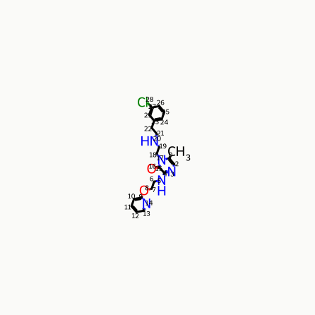 Cc1cnc(NCCOc2ccccn2)c(=O)n1CCNCCc1cccc(Cl)c1